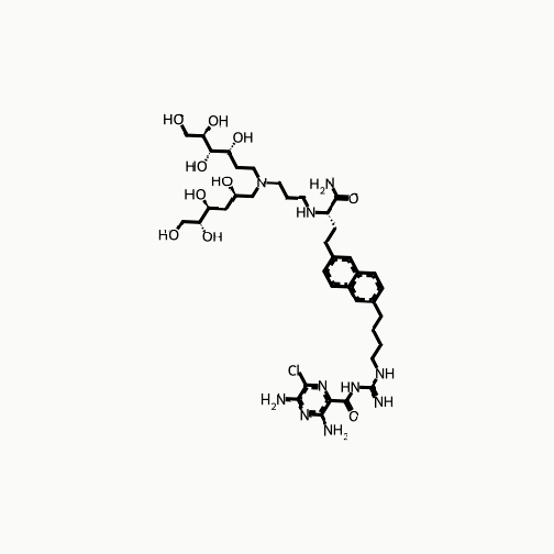 N=C(NCCCCc1ccc2cc(CC[C@H](NCCCN(CC[C@@H](O)[C@H](O)[C@H](O)CO)C[C@H](O)C[C@H](O)[C@H](O)CO)C(N)=O)ccc2c1)NC(=O)c1nc(Cl)c(N)nc1N